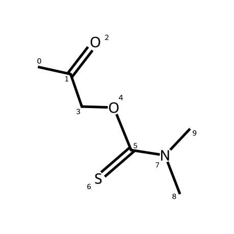 CC(=O)COC(=S)N(C)C